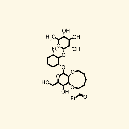 CCC(=O)[C@H]1CCCCOC2C(O1)[C@@H](O)C(CO)O[C@H]2O[C@@H]1CCC[C@@H](CC)C1O[C@@H]1OC(C)[C@@H](O)C(O)[C@@H]1O